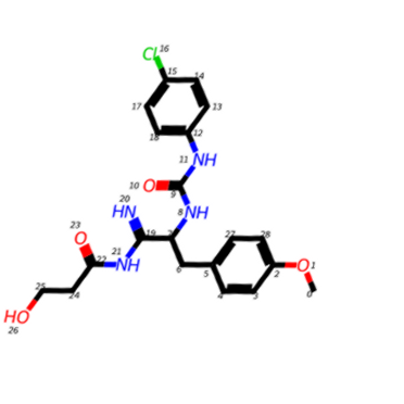 COc1ccc(CC(NC(=O)Nc2ccc(Cl)cc2)C(=N)NC(=O)CCO)cc1